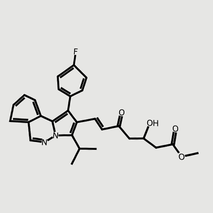 COC(=O)CC(O)CC(=O)/C=C/c1c(-c2ccc(F)cc2)c2c3ccccc3cnn2c1C(C)C